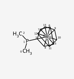 CP(C)[C]12[CH]3[CH]4[CH]5[CH]1[Ru]45321678[CH]2[CH]1[CH]6[CH]7[CH]28